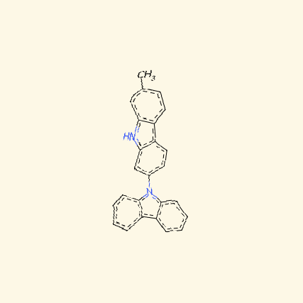 Cc1ccc2c(c1)[nH]c1cc(-n3c4ccccc4c4ccccc43)ccc12